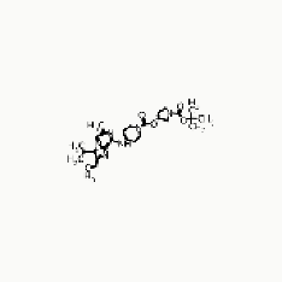 CCc1nc2c(NC3CCN(C(=O)O[C@H]4CCN(C(=O)OC(C)(C)C)C4)CC3)nc(C)cn2c1C(C)C